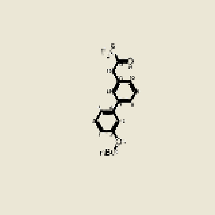 CCCCOc1cccc(-c2cccc(CC(=O)C(F)(F)F)c2)c1